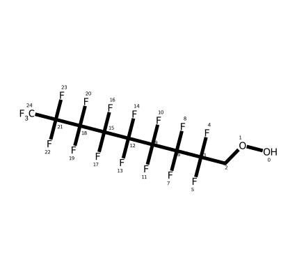 OOCC(F)(F)C(F)(F)C(F)(F)C(F)(F)C(F)(F)C(F)(F)C(F)(F)C(F)(F)F